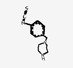 S=C=Nc1ccc(CN2CCNCC2)cc1